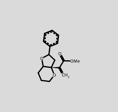 C=C(C(=O)OC)[C@]12CC(c3ccccc3)OC1CCCO2